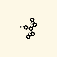 Brc1ccc(-c2cc(-c3cccc4c3oc3ccccc34)cc(-c3cccc4c3oc3ccccc34)c2)cc1